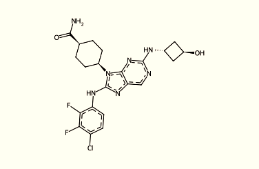 NC(=O)[C@H]1CC[C@@H](n2c(Nc3ccc(Cl)c(F)c3F)nc3cnc(N[C@H]4C[C@H](O)C4)nc32)CC1